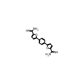 N=C(N)c1ccc(-c2ccc(-c3ccc(C(=N)N)o3)cc2)o1